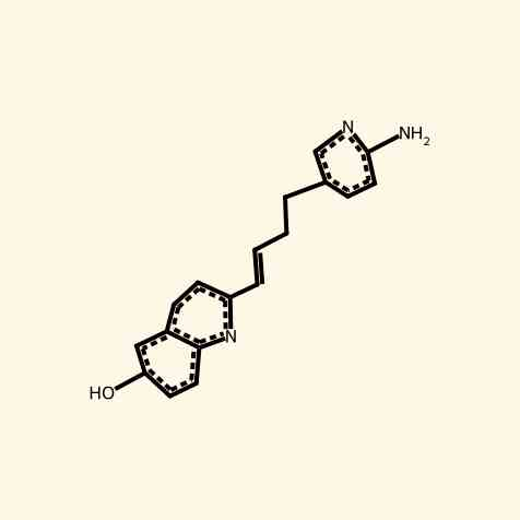 Nc1ccc(CC/C=C/c2ccc3cc(O)ccc3n2)cn1